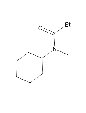 [CH2]CC(=O)N(C)C1CCCCC1